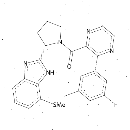 CSc1cccc2nc([C@@H]3CCCN3C(=O)c3nccnc3-c3cc(C)cc(F)c3)[nH]c12